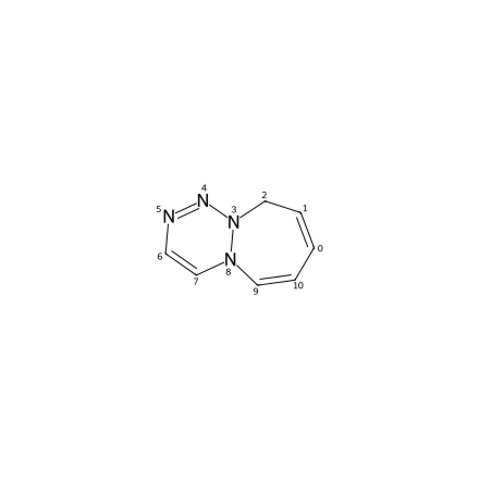 C1=CCN2N=NC=CN2C=C1